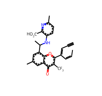 C#C/C=C(\C=C/C)c1oc2c(C(C)Nc3ccc(C)nc3C(=O)O)cc(C)cc2c(=O)c1C(F)(F)F